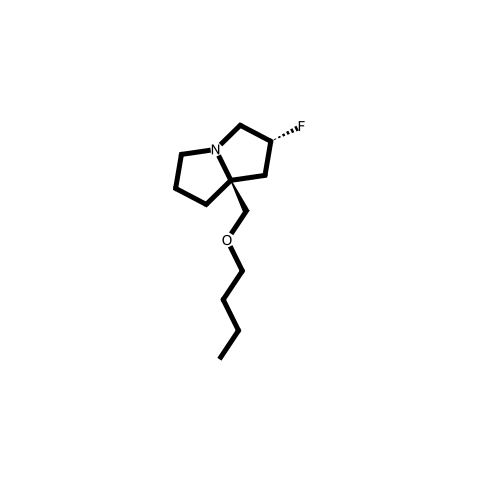 CCCCOC[C@@]12CCCN1C[C@H](F)C2